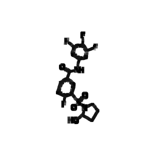 O=C(Nc1cc(F)c(F)c(F)c1)c1ccc(F)c(S(=O)(=O)N2CCCC2O)c1